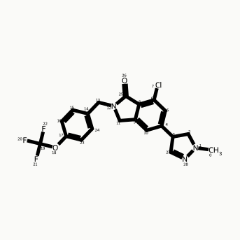 CN1CC(c2cc(Cl)c3c(c2)CN(Cc2ccc(OC(F)(F)F)cc2)C3=O)C=N1